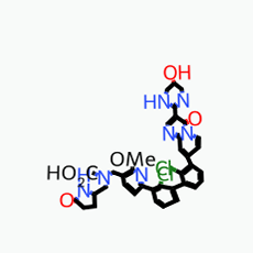 COc1nc(-c2cccc(-c3cccc(-c4ccn5c(=O)c(C6=NCC(O)CN6)cnc5c4)c3Cl)c2Cl)ccc1CN(CC1CCC(=O)N1)C(=O)O